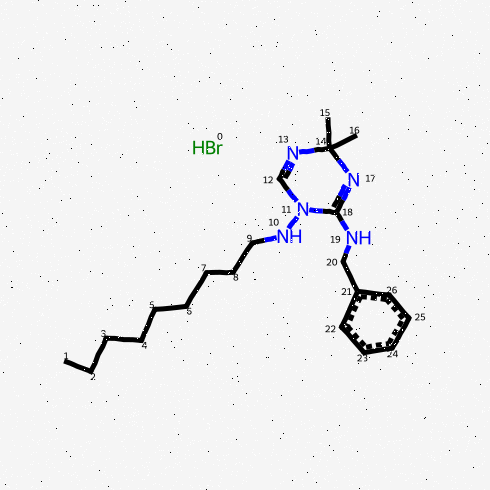 Br.CCCCCCCCCNN1C=NC(C)(C)N=C1NCc1ccccc1